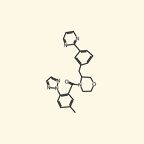 Cc1ccc(-n2nccn2)c(C(=O)N2CCOCC2Cc2cccc(-c3ncccn3)c2)c1